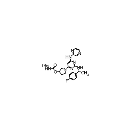 C[C@H](Nc1nc(Nc2cnccn2)cc(N2CCC(OC(=O)NC(C)(C)C)C2)n1)c1ccc(F)cc1